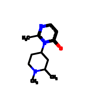 Cc1nccc(=O)n1C1CCN(C)C(C)C1